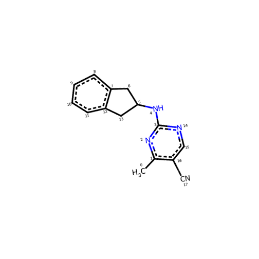 Cc1nc(NC2Cc3ccccc3C2)ncc1C#N